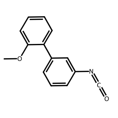 COc1ccccc1-c1cccc(N=C=O)c1